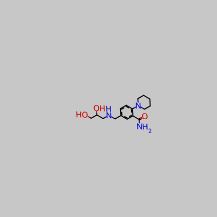 NC(=O)c1cc(CNCC(O)CO)ccc1N1CCCCC1